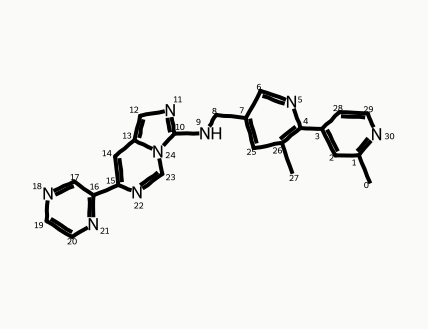 Cc1cc(-c2ncc(CNc3ncc4cc(-c5cnccn5)ncn34)cc2C)ccn1